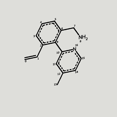 C=Cc1cccc(CN)c1-c1cc(C)ccn1